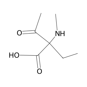 CCC(NC)(C(C)=O)C(=O)O